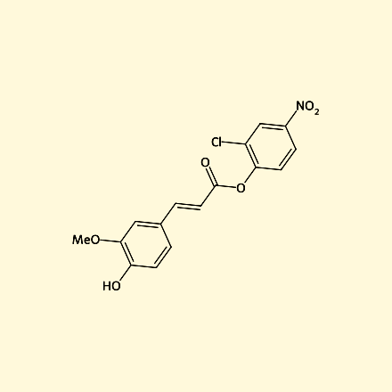 COc1cc(/C=C/C(=O)Oc2ccc([N+](=O)[O-])cc2Cl)ccc1O